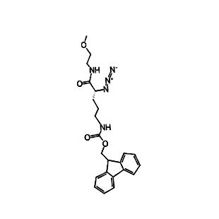 COCCNC(=O)[C@@H](CCCNC(=O)OCC1c2ccccc2-c2ccccc21)N=[N+]=[N-]